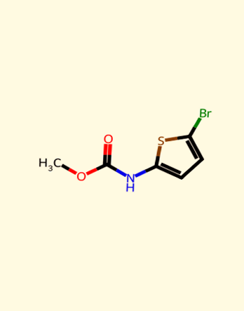 COC(=O)Nc1ccc(Br)s1